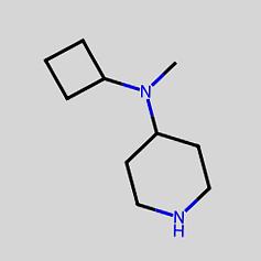 CN(C1CCC1)C1CCNCC1